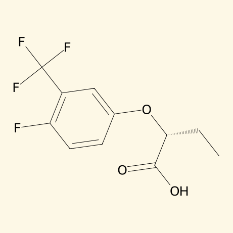 CC[C@@H](Oc1ccc(F)c(C(F)(F)F)c1)C(=O)O